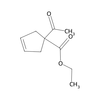 CCOC(=O)C1(C(C)=O)CC=CC1